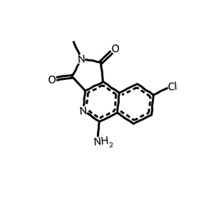 CN1C(=O)c2nc(N)c3ccc(Cl)cc3c2C1=O